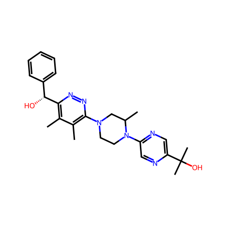 Cc1c([C@H](O)c2ccccc2)nnc(N2CCN(c3cnc(C(C)(C)O)cn3)C(C)C2)c1C